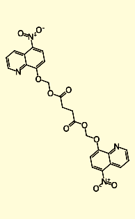 O=C(CCC(=O)OCOc1ccc([N+](=O)[O-])c2cccnc12)OCOc1ccc([N+](=O)[O-])c2cccnc12